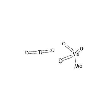 [O]=[Mo](=[O])(=[O])[Mo].[O]=[Ti]=[O]